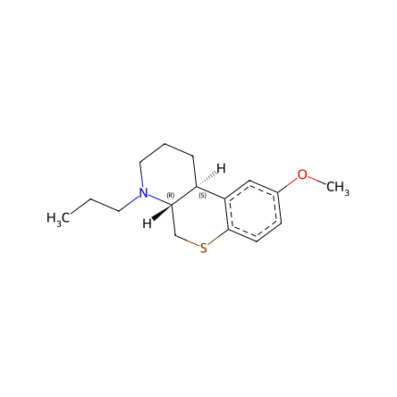 CCCN1CCC[C@H]2c3cc(OC)ccc3SC[C@@H]21